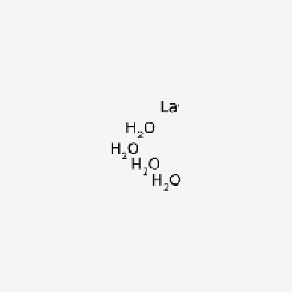 O.O.O.O.[La]